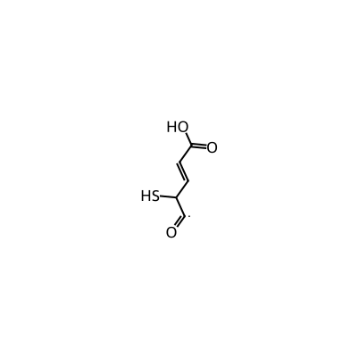 O=[C]C(S)C=CC(=O)O